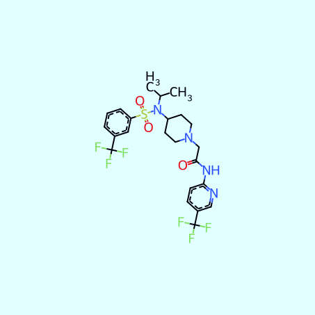 CC(C)N(C1CCN(CC(=O)Nc2ccc(C(F)(F)F)cn2)CC1)S(=O)(=O)c1cccc(C(F)(F)F)c1